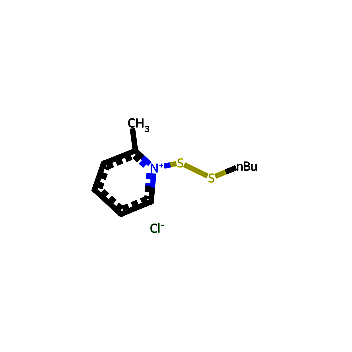 CCCCSS[n+]1ccccc1C.[Cl-]